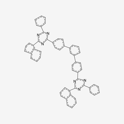 c1ccc(-c2nc(-c3ccc(-c4cccc(-c5ccc(-c6nc(-c7ccccc7)nc(-c7cccc8ccccc78)n6)cc5)c4)cc3)nc(-c3cccc4ccccc34)n2)cc1